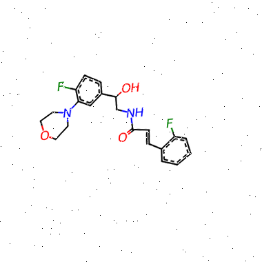 O=C(C=Cc1ccccc1F)NCC(O)c1ccc(F)c(N2CCOCC2)c1